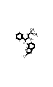 Cc1cc2cccc(O[C@@H](c3ccccc3)[C@@H](F)CN(C)C)c2o1